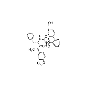 CN(C(=O)[C@H](Cc1ccccc1)NC(=O)NS(=O)(=O)c1ccccc1-c1ccc(CO)cc1)c1ccc2c(c1)OCO2